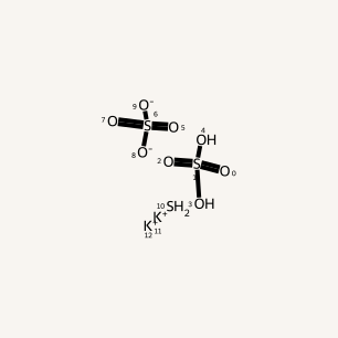 O=S(=O)(O)O.O=S(=O)([O-])[O-].S.[K+].[K+]